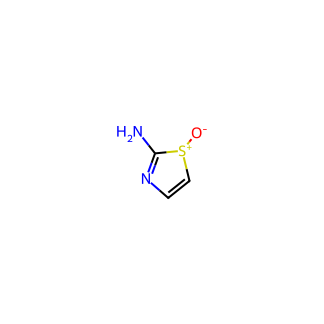 Nc1ncc[s+]1[O-]